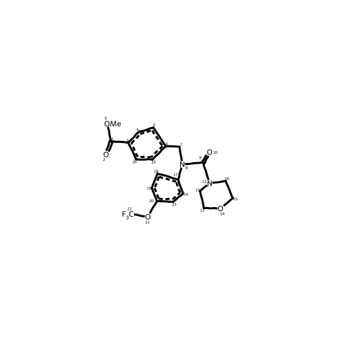 COC(=O)c1ccc(CN(C(=O)N2CCOCC2)c2ccc(OC(F)(F)F)cc2)cc1